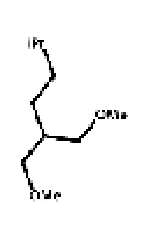 COC[C](CCC(C)C)COC